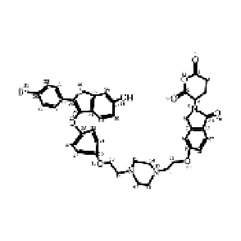 O=C1CCC(N2Cc3cc(OCCN4CCN(CCOc5ccc(Oc6c(-c7ccc(Br)cc7)sc7cc(O)ccc67)cc5)CC4)ccc3C2=O)C(=O)O1